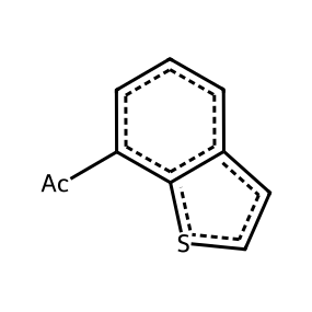 CC(=O)c1cccc2ccsc12